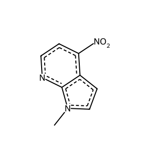 Cn1ccc2c([N+](=O)[O-])ccnc21